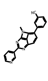 CN1c2nc(-c3cccnc3)nc3ccc(-c4cccc(C#N)c4)c1c23